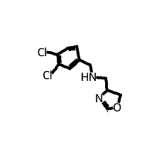 Clc1ccc(CNCC2CO[C]=N2)cc1Cl